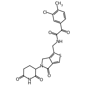 Cc1ccc(C(=O)C(=O)NCc2scc3c2CN(C2CCC(=O)NC2=O)C3=O)cc1Cl